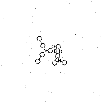 c1ccc(-c2ccc(N(c3ccc(-c4ccccc4)cc3)c3ccc4c(c3)Oc3cccc5c3B4c3cc4c6ccccc6n(-c6ccccc6)c4cc3O5)cc2)cc1